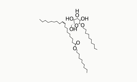 CCCCCCCC/C=C\CCCCCCCC(=O)OCCCCCCCCCC.CCCCCCCCCCOC1O[C@H](CO)[C@@H](O)[C@H](O)[C@H]1O